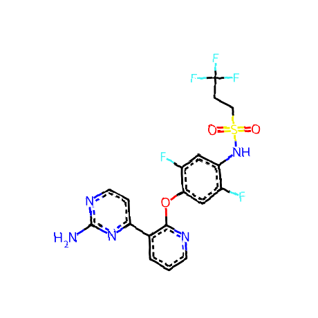 Nc1nccc(-c2cccnc2Oc2cc(F)c(NS(=O)(=O)CCC(F)(F)F)cc2F)n1